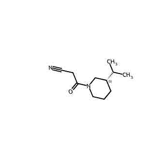 CC(C)[C@@H]1CCCN(C(=O)CC#N)C1